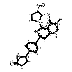 Cn1cnc2cc(-c3ccc(C4CCC(=O)N4)cc3)nc(N3CC[C@H](CO)C3)c2c1=O